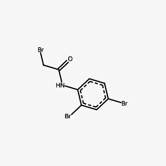 O=C(CBr)Nc1ccc(Br)cc1Br